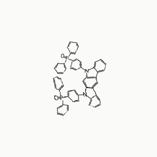 O=P(c1ccccc1)(c1ccccc1)c1ccc(-n2c3ccccc3c3cc4c5ccccc5n(-c5ccc(P(=O)(c6ccccc6)c6ccccc6)cc5)c4cc32)cc1